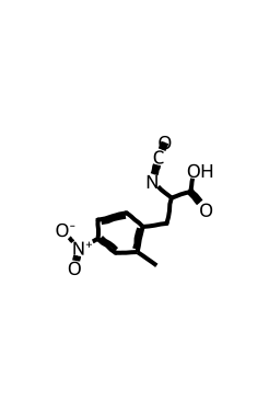 Cc1cc([N+](=O)[O-])ccc1CC(N=C=O)C(=O)O